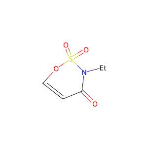 CCN1C(=O)C=COS1(=O)=O